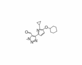 Cn1nnc(-c2ccc(OC3CCCCC3)c(C3CC3)n2)c1C=O